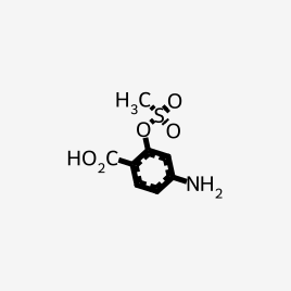 CS(=O)(=O)Oc1cc(N)ccc1C(=O)O